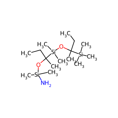 CCC(C)(O[Si](C)(C)C(C)(CC)O[Si](C)(C)N)[Si](C)(C)C